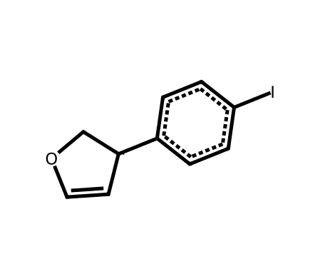 Ic1ccc([C]2C=COC2)cc1